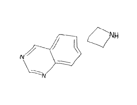 C1CNC1.c1ccc2ncncc2c1